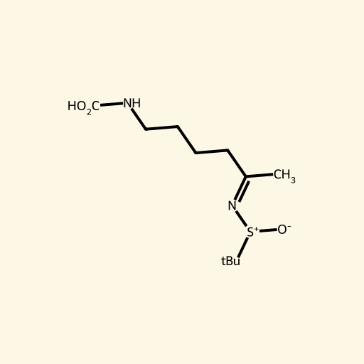 CC(CCCCNC(=O)O)=N[S+]([O-])C(C)(C)C